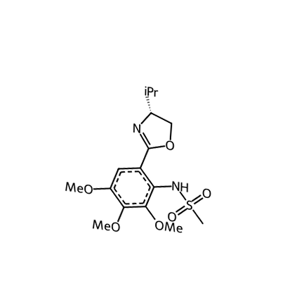 COc1cc(C2=N[C@H](C(C)C)CO2)c(NS(C)(=O)=O)c(OC)c1OC